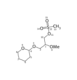 COC(COC1CCCCO1)COS(C)(=O)=O